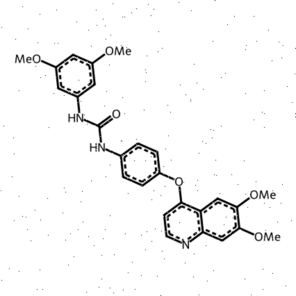 COc1cc(NC(=O)Nc2ccc(Oc3ccnc4cc(OC)c(OC)cc34)cc2)cc(OC)c1